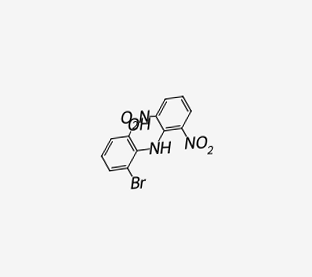 O=[N+]([O-])c1cccc([N+](=O)[O-])c1Nc1c(O)cccc1Br